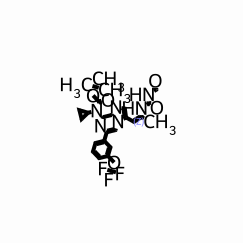 C/C(=C/c1cnc2c(N(C(=O)OC(C)(C)C)C3CC3)nc(-c3cccc(OC(F)(F)F)c3)cn12)NC(=O)NC=O